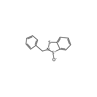 [O-][S+]1c2ccccc2SN1Cc1ccccc1